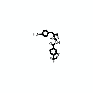 Nc1ccc(Cc2cnc(NC(=O)c3ccc(C(F)(F)F)c(F)c3)[nH]2)cc1